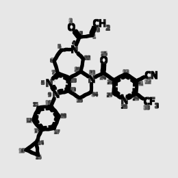 C=CC(=O)N1CCc2nn(-c3ccc(C4CC4)cc3)c3c2C(C1)N(C(=O)c1cnc(C(F)(F)F)c(C#N)c1)CC3